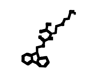 CCCOCC[C@H](NC(=O)OCC1c2ccccc2-c2ccccc21)C(=O)O